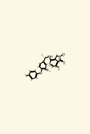 CCN1Cc2c(N[C@@H](C)c3ccc(Oc4ccc(C)cc4)c(F)c3)ncc(F)c2C1=O